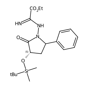 CCOC(=O)C(=N)NN1C(=O)[C@@H](O[Si](C)(C)C(C)(C)C)CC1c1ccccc1